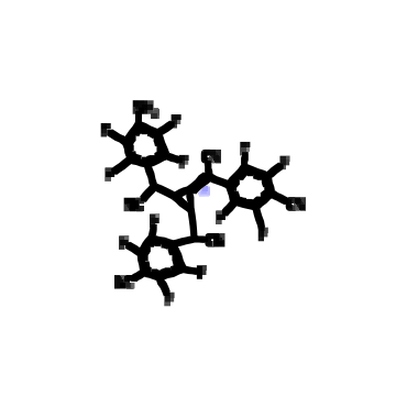 N#C/C(=C1\C(C(C#N)c2c(F)c(F)c(N)c(F)c2F)C1C(C#N)c1c(F)c(F)c(C#N)c(F)c1F)c1c(F)c(F)c(C#N)c(F)c1F